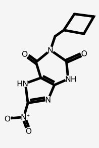 O=c1[nH]c2nc([N+](=O)[O-])[nH]c2c(=O)n1CC1CCC1